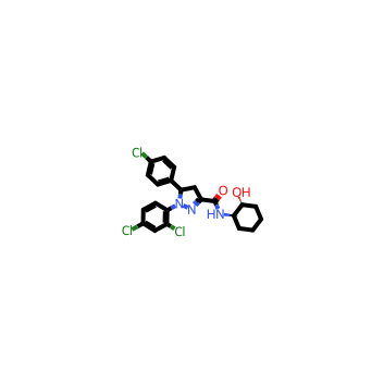 O=C(N[C@@H]1CCCC[C@H]1O)C1=NN(c2ccc(Cl)cc2Cl)C(c2ccc(Cl)cc2)C1